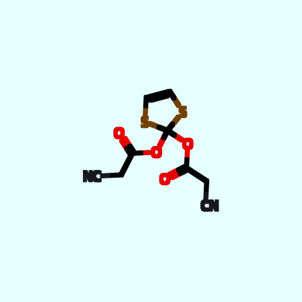 N#CCC(=O)OC1(OC(=O)CC#N)SC=CS1